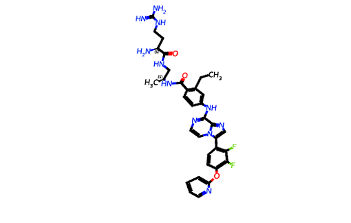 CCc1cc(Nc2nccn3c(-c4ccc(Oc5ccccn5)c(F)c4F)cnc23)ccc1C(=O)N[C@@H](C)CNC(=O)[C@@H](N)CCNC(=N)N